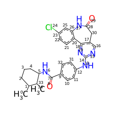 CC1CCCC(NC(=O)c2ccc(Nc3ncc4c(n3)-c3ccc(Cl)cc3NC(=O)C4)cc2)C1C